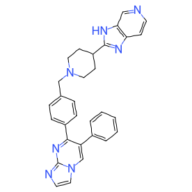 c1ccc(-c2cn3ccnc3nc2-c2ccc(CN3CCC(c4nc5ccncc5[nH]4)CC3)cc2)cc1